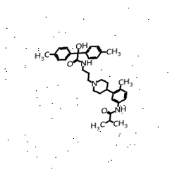 Cc1ccc(C(O)(C(=O)NCCCN2CCC(c3cc(NC(=O)C(C)C)ccc3C)CC2)c2ccc(C)cc2)cc1